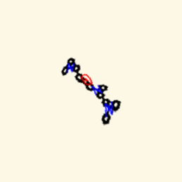 c1ccc(-n2c3ccccc3c3cc(-c4ccc5c(c4)c4ccccc4n5-c4ccc5c(c4)oc4cc(-c6ccc7c8cccc9c%10ccccc%10n(c7c6)c98)ccc45)ccc32)cc1